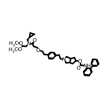 COC(CN(CC1CC1)C(=O)CCOCCc1ccc(CCN2CC3CC(OC(=O)Nc4ccccc4-c4ccccc4)CC3C2)cc1)OC